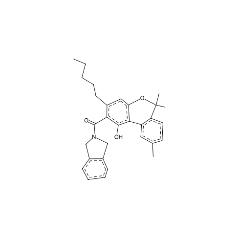 CCCCCc1cc2c(c(O)c1C(=O)N1Cc3ccccc3C1)-c1cc(C)ccc1C(C)(C)O2